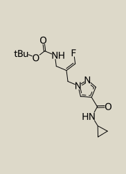 CC(C)(C)OC(=O)NCC(=CF)Cn1cc(C(=O)NC2CC2)cn1